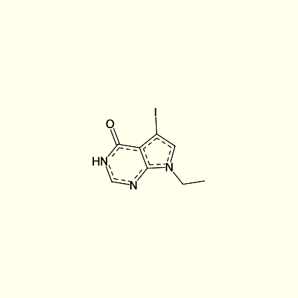 CCn1cc(I)c2c(=O)[nH]cnc21